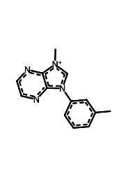 Cc1cccc(-n2c[n+](C)c3nccnc32)c1